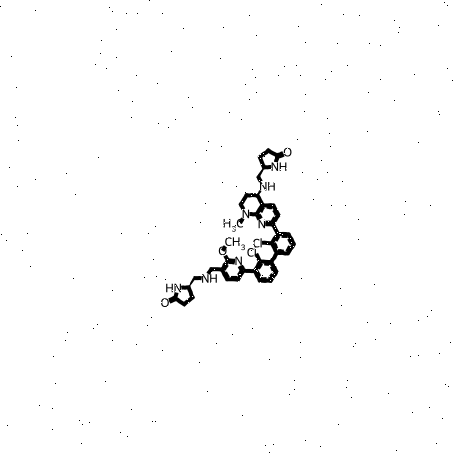 COc1nc(-c2cccc(-c3cccc(-c4ccc5c(n4)N(C)CC[C@H]5NC[C@H]4CCC(=O)N4)c3Cl)c2Cl)ccc1CNC[C@H]1CCC(=O)N1